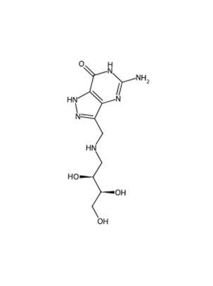 Nc1nc2c(CNC[C@H](O)[C@@H](O)CO)n[nH]c2c(=O)[nH]1